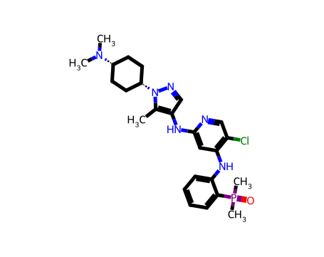 Cc1c(Nc2cc(Nc3ccccc3P(C)(C)=O)c(Cl)cn2)cnn1[C@H]1CC[C@@H](N(C)C)CC1